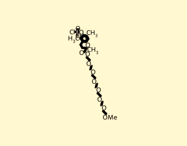 COCCOCCOCCOCCOCCOCCOCCOC(=O)C1(C)CCc2c(cc(C)c(OP(C)(=O)Cl)c2C)O1